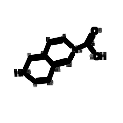 O=C(O)N1C=CC2=CNC=CC2=C1